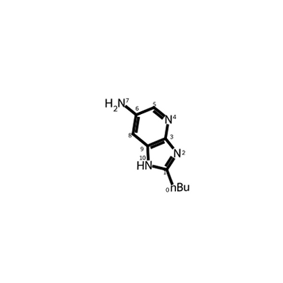 CCCCc1nc2ncc(N)cc2[nH]1